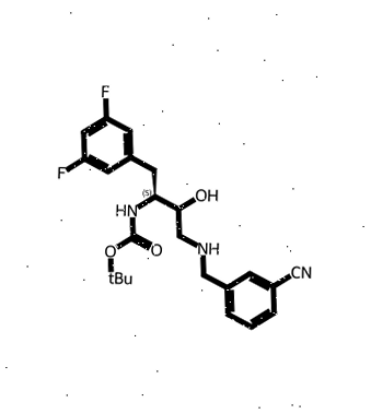 CC(C)(C)OC(=O)N[C@@H](Cc1cc(F)cc(F)c1)C(O)CNCc1cccc(C#N)c1